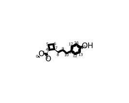 COC(=O)[C@@H]1CC[C@H]1CCCc1ccc(O)cc1